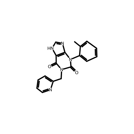 Cc1ccccc1-n1c(=O)n(Cc2ccccn2)c(=O)c2[nH]cnc21